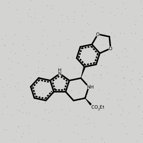 CCOC(=O)[C@H]1Cc2c([nH]c3ccccc23)[C@@H](c2ccc3c(c2)OCO3)N1